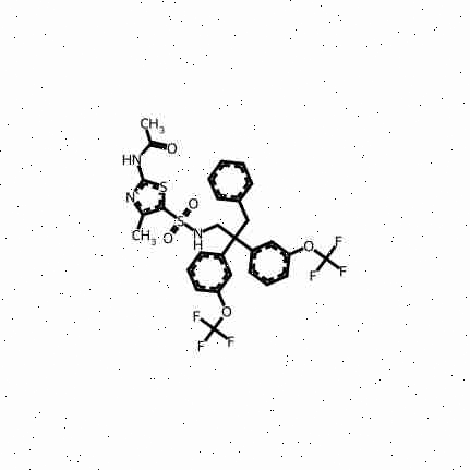 CC(=O)Nc1nc(C)c(S(=O)(=O)NCC(Cc2ccccc2)(c2cccc(OC(F)(F)F)c2)c2cccc(OC(F)(F)F)c2)s1